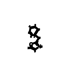 [CH](c1ccccc1)c1ncco1